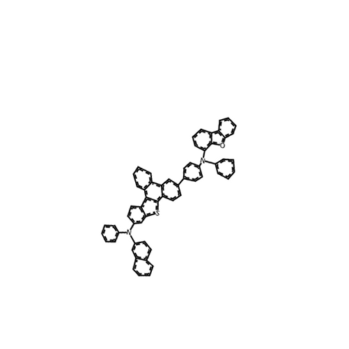 c1ccc(N(c2ccc3ccccc3c2)c2ccc3c(c2)sc2c4ccc(-c5ccc(N(c6ccccc6)c6cccc7c6oc6ccccc67)cc5)cc4c4ccccc4c32)cc1